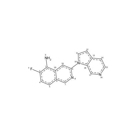 Nc1c(F)ccc2cnc(-n3ccc4ccncc43)cc12